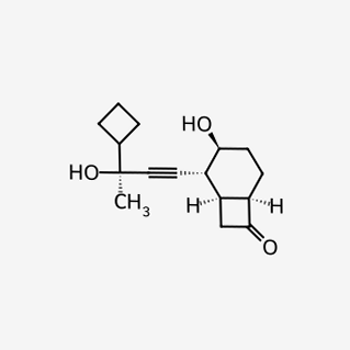 C[C@@](O)(C#C[C@H]1[C@@H]2CC(=O)[C@@H]2CC[C@@H]1O)C1CCC1